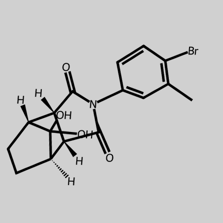 Cc1cc(N2C(=O)[C@@H]3[C@H](C2=O)[C@H]2CC[C@H]3C2(O)O)ccc1Br